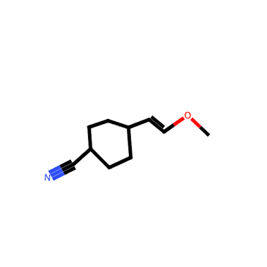 COC=CC1CCC(C#N)CC1